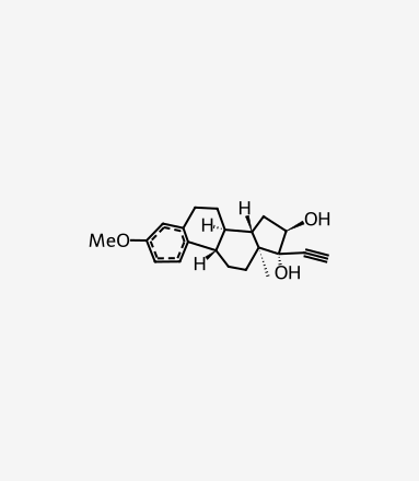 C#C[C@]1(O)[C@H](O)C[C@H]2[C@@H]3CCc4cc(OC)ccc4[C@H]3CC[C@@]21C